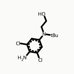 CC(C)(C)N(CCO)c1cc(Cl)c(N)c(Cl)c1